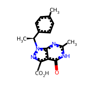 Cc1ccc([C@H](C)n2nc(C(=O)O)c3c(=O)[nH]c(C)nc32)cc1